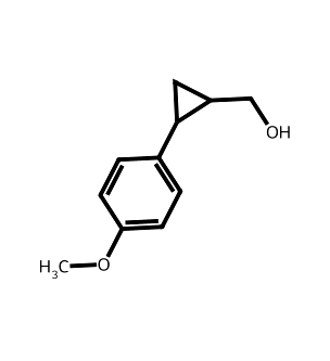 COc1ccc(C2CC2CO)cc1